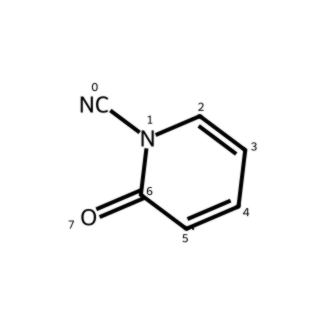 N#Cn1ccc[c]c1=O